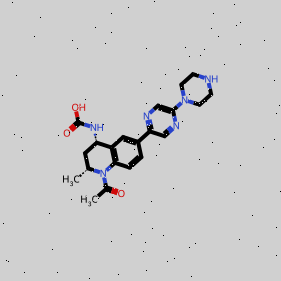 CC(=O)N1c2ccc(-c3cnc(N4CCNCC4)cn3)cc2[C@@H](NC(=O)O)C[C@H]1C